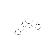 Cc1cc(Nc2ncc(F)c3nn(-c4c(F)cccc4C#N)cc23)ncn1